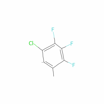 Cc1[c]c(Cl)c(F)c(F)c1F